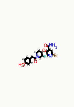 NC(=O)c1cc(Br)ncc1O[C@H]1CCN(C(=O)Cc2ccc(O)cc2)C[C@@H]1F